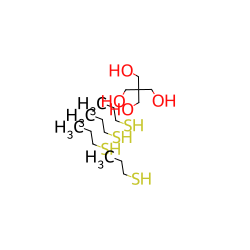 CCCS.CCCS.CCCS.CCCS.OCC(CO)(CO)CO